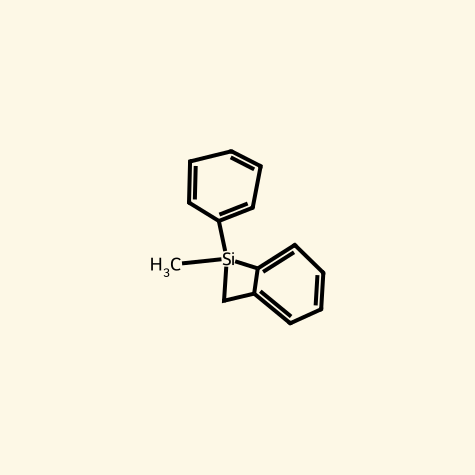 C[Si]1(c2ccccc2)Cc2ccccc21